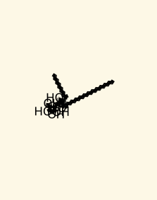 CCCCCCCCCCCCCCCCCCCCCCCC(C)C(=O)N1[C@@H](COC2OC(CO)C(O)C(O)C2O)[C@H](O)[C@@H]1CC(C)CCCCCCCCCCC